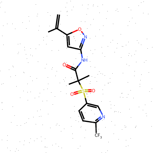 C=C(C)c1cc(NC(=O)C(C)(C)S(=O)(=O)c2ccc(C(F)(F)F)nc2)no1